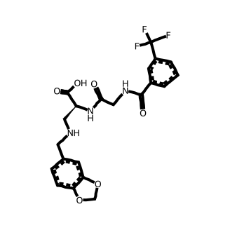 O=C(CNC(=O)c1cccc(C(F)(F)F)c1)N[C@@H](CNCc1ccc2c(c1)OCO2)C(=O)O